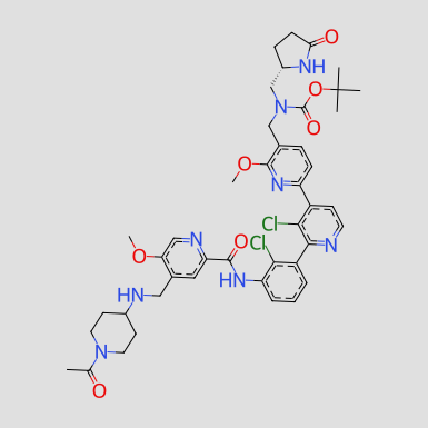 COc1cnc(C(=O)Nc2cccc(-c3nccc(-c4ccc(CN(C[C@@H]5CCC(=O)N5)C(=O)OC(C)(C)C)c(OC)n4)c3Cl)c2Cl)cc1CNC1CCN(C(C)=O)CC1